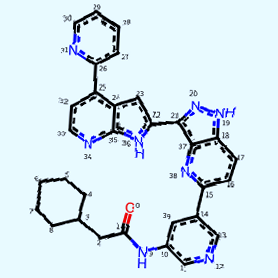 O=C(CC1CCCCC1)Nc1cncc(-c2ccc3[nH]nc(-c4cc5c(-c6ccccn6)ccnc5[nH]4)c3n2)c1